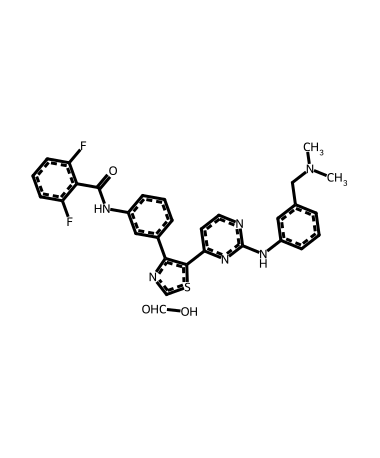 CN(C)Cc1cccc(Nc2nccc(-c3scnc3-c3cccc(NC(=O)c4c(F)cccc4F)c3)n2)c1.O=CO